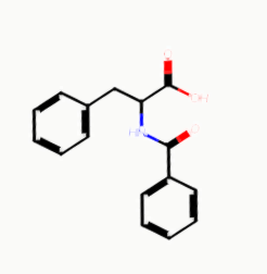 O=C(NC(Cc1[c]cccc1)C(=O)O)c1ccccc1